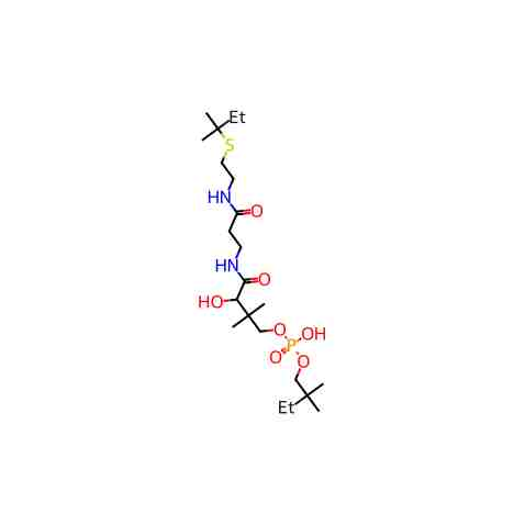 CCC(C)(C)COP(=O)(O)OCC(C)(C)C(O)C(=O)NCCC(=O)NCCSC(C)(C)CC